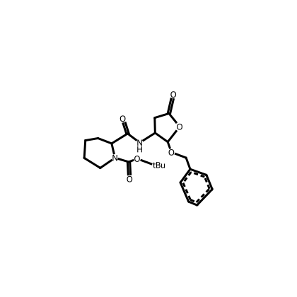 CC(C)(C)OC(=O)N1CCCCC1C(=O)NC1CC(=O)OC1OCc1ccccc1